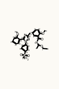 CCOC(C)=NC(=O)c1ccccc1OC.COc1ccccc1-c1nc(C)nn1-c1ccc(S(N)(=O)=O)cc1